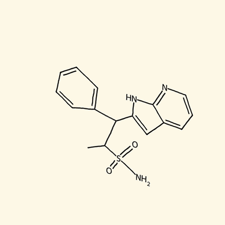 CC(C(c1ccccc1)c1cc2cccnc2[nH]1)S(N)(=O)=O